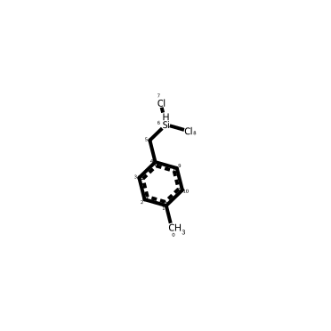 Cc1ccc(C[SiH](Cl)Cl)cc1